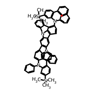 C[Si](C)(C)c1ccc(-c2ccccc2)c(N(c2ccccc2)c2ccc3c4cc5c(cc4n4c6ccccc6c2c34)c2ccc(N(c3ccccc3)c3cc([Si](C)(C)C)ccc3-c3ccccc3)c3c4ccccc4n5c23)c1